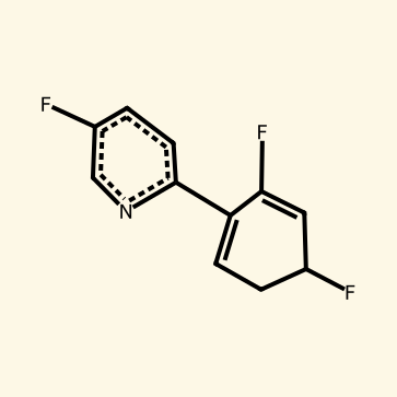 FC1=CC(F)CC=C1c1ccc(F)cn1